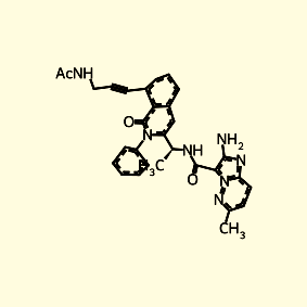 CC(=O)NCC#Cc1cccc2cc([C@H](C)NC(=O)c3c(N)nc4ccc(C)nn34)n(-c3ccccc3)c(=O)c12